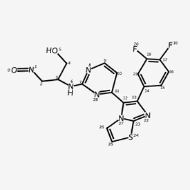 O=NCC(CO)Nc1nccc(-c2c(-c3ccc(F)c(F)c3)nc3sccn23)n1